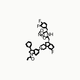 C=CC(=O)N1CC(c2ccccc2)c2cc(N3CCC4(CC3)C[C@@H](CC(=O)N[C@H](Cc3ccc(F)c(F)c3)c3nnco3)c3ccc(F)cc34)ccc21